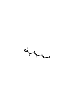 CC=CC=C[CH2][Ru]